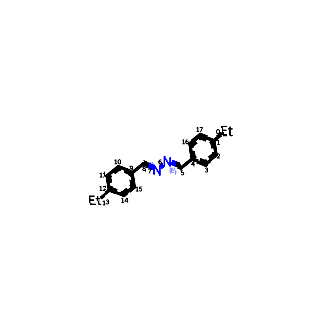 CCc1ccc(/C=N/N=C/c2ccc(CC)cc2)cc1